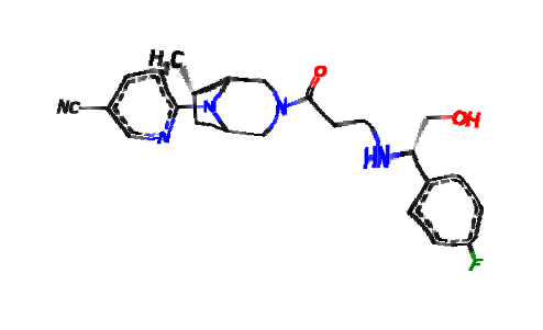 C[C@H]1CC2CN(C(=O)CCN[C@H](CO)c3ccc(F)cc3)CC1N2c1ccc(C#N)cn1